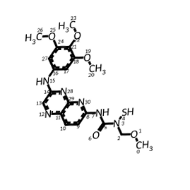 COCN(S)C(=O)Nc1ccc2ncc(Nc3cc(OC)c(OC)c(OC)c3)nc2n1